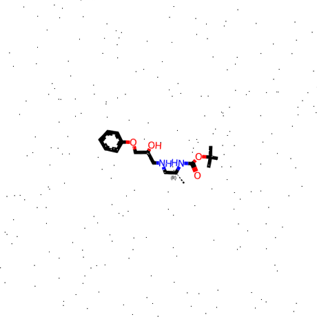 C[C@H](CNCC(O)COc1ccccc1)NC(=O)OC(C)(C)C